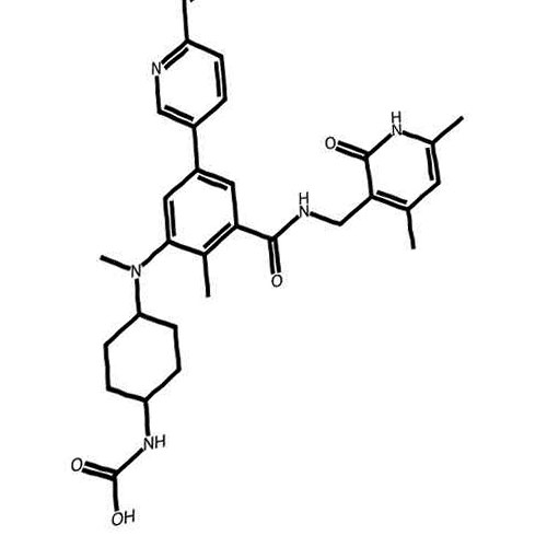 Cc1cc(C)c(CNC(=O)c2cc(-c3ccc(C=O)nc3)cc(N(C)C3CCC(NC(=O)O)CC3)c2C)c(=O)[nH]1